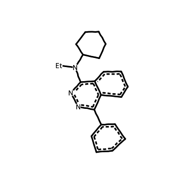 CCN(c1nnc(-c2ccccc2)c2ccccc12)C1CCCCC1